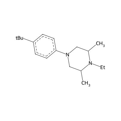 CCN1C(C)CN(c2ccc(C(C)(C)C)cc2)CC1C